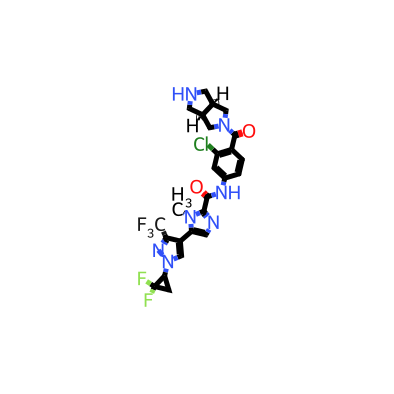 Cn1c(-c2cn(C3CC3(F)F)nc2C(F)(F)F)cnc1C(=O)Nc1ccc(C(=O)N2C[C@H]3CNC[C@H]3C2)c(Cl)c1